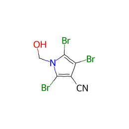 N#Cc1c(Br)c(Br)n(CO)c1Br